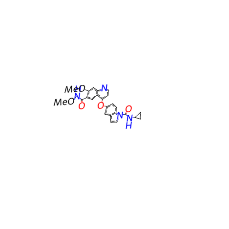 CONC(=O)c1cc2c(Oc3ccc4c(ccn4C(=O)NC4CC4)c3)ccnc2cc1OC